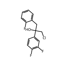 OC(CCl)(Cc1ccccc1F)c1ccc(F)c(F)c1